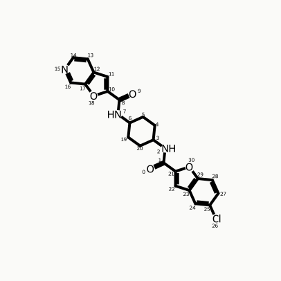 O=C(NC1CCC(NC(=O)c2cc3ccncc3o2)CC1)c1cc2cc(Cl)ccc2o1